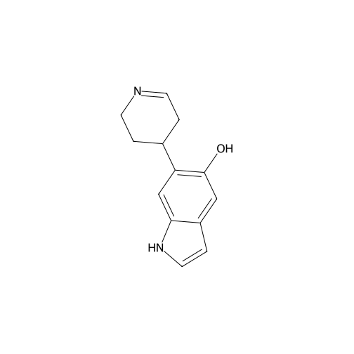 Oc1cc2cc[nH]c2cc1C1CC=NCC1